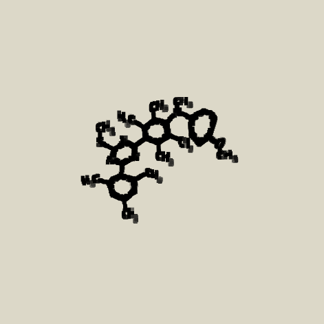 COc1ccc(N(C)c2c(C)c(C)c(-c3nc(SC)nc(-c4c(C)cc(C)cc4C)n3)c(C)c2C)cc1